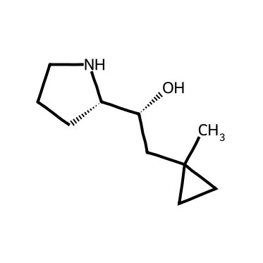 CC1(C[C@@H](O)[C@@H]2CCCN2)CC1